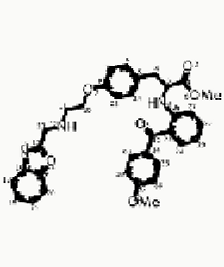 COC(=O)C(Cc1ccc(OCCNCc2nc3ccccc3o2)cc1)Nc1ccccc1C(=O)c1ccc(OC)cc1